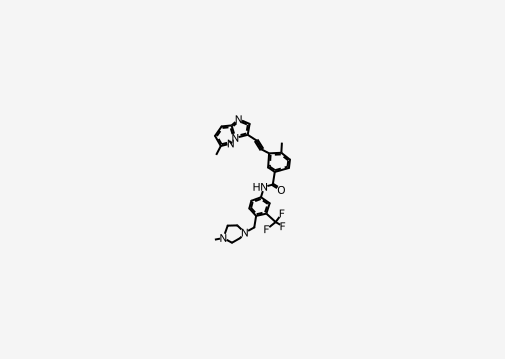 Cc1ccc2ncc(C#Cc3cc(C(=O)Nc4ccc(CN5CCN(C)CC5)c(C(F)(F)F)c4)ccc3C)n2n1